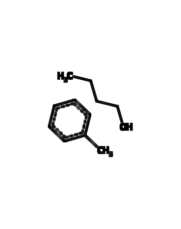 CCCCO.Cc1ccccc1